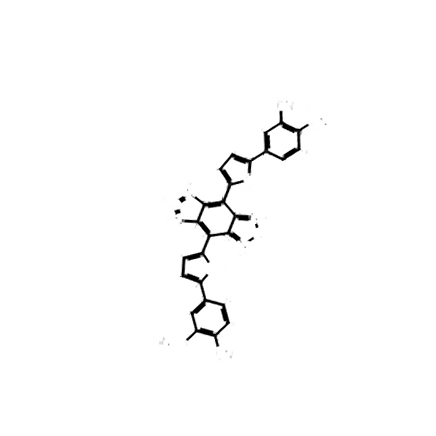 CCCCCCCCCc1cc(-c2ccc(-c3c4c(c(-c5ccc(-c6ccc(C#N)c(CCCCCCCCC)c6)s5)c5nsnc35)N=S=N4)s2)ccc1C#N